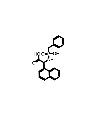 O=C(O)C(NP(=O)(O)Cc1ccccc1)c1cccc2ccccc12